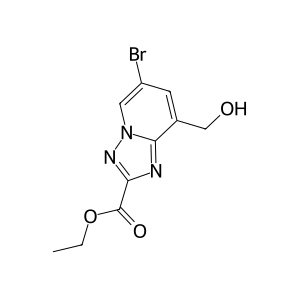 CCOC(=O)c1nc2c(CO)cc(Br)cn2n1